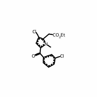 CCOC(=O)Cc1c(Cl)cc(C(=O)c2cccc(Cl)c2)n1C